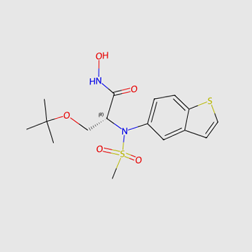 CC(C)(C)OC[C@H](C(=O)NO)N(c1ccc2sccc2c1)S(C)(=O)=O